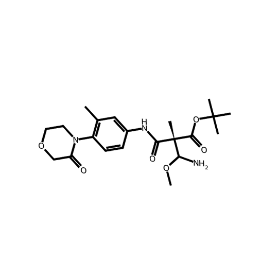 COC(N)[C@](C)(C(=O)Nc1ccc(N2CCOCC2=O)c(C)c1)C(=O)OC(C)(C)C